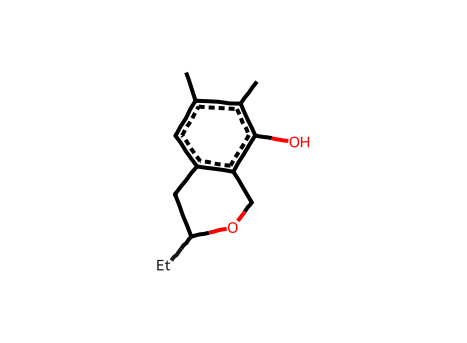 CCC1Cc2cc(C)c(C)c(O)c2CO1